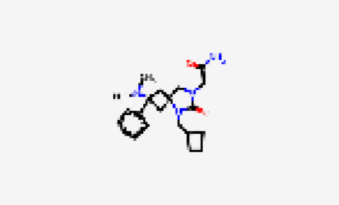 CN(C)[C@]1(c2ccccc2)C[C@]2(CN(CC(N)=O)C(=O)N2CC2CCC2)C1